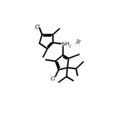 CC1=C([SiH2]C2=C(C)C(C(C)C)(C(C)C)C(Cl)=C2C)C(C)=C(Cl)C1.[Zr]